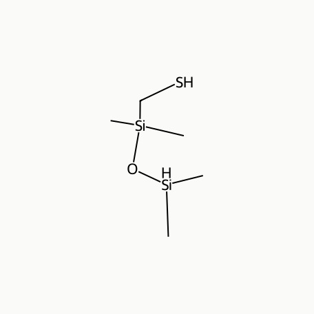 C[SiH](C)O[Si](C)(C)CS